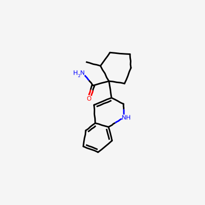 CC1CCCCC1(C(N)=O)C1=Cc2ccccc2NC1